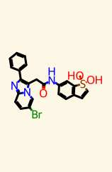 O=C(Cc1c(-c2ccccc2)nc2ccc(Br)cn12)Nc1ccc2c(c1)S(O)(O)C=C2